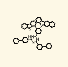 c1ccc(-c2ccc(C3=NC(c4cccc(-c5ccccc5)c4)=NC(c4ccc(-n5c6ccccc6c6cc7ccccc7cc65)c(-c5cccc6c5sc5ccccc56)c4)N3)cc2)cc1